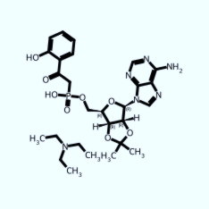 CC1(C)O[C@@H]2[C@H](O1)[C@@H](COP(=O)(O)CC(=O)c1ccccc1O)O[C@H]2n1cnc2c(N)ncnc21.CCN(CC)CC